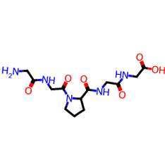 NCC(=O)NCC(=O)N1CCCC1C(=O)NCC(=O)NCC(=O)O